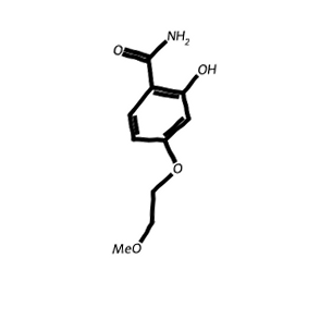 COCCOc1ccc(C(N)=O)c(O)c1